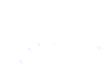 CSCCCCOc1ccc2ncc(-c3cc4ccccc4o3)n2n1